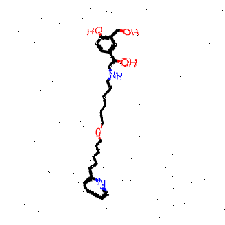 OCc1cc(C(O)CNCCCCCCOCCCCCCc2ccccn2)ccc1O